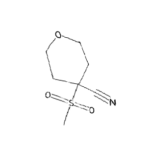 CS(=O)(=O)C1(C#N)CCOCC1